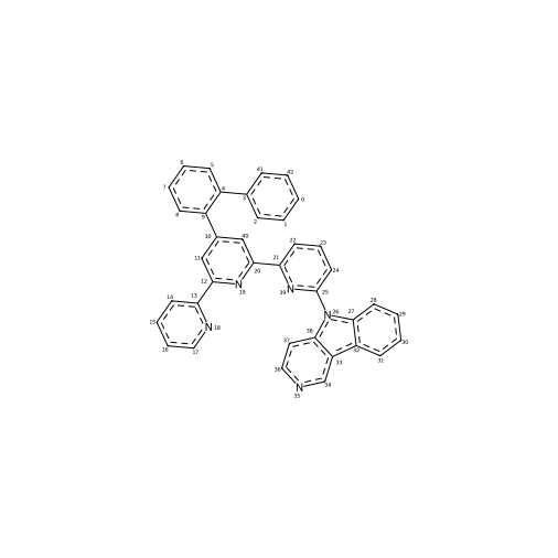 c1ccc(-c2ccccc2-c2cc(-c3ccccn3)nc(-c3cccc(-n4c5ccccc5c5cnccc54)n3)c2)cc1